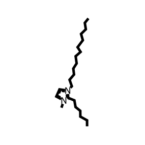 CCCCCCCCCCCCCn1cc[n+](C)c1CCCCCC